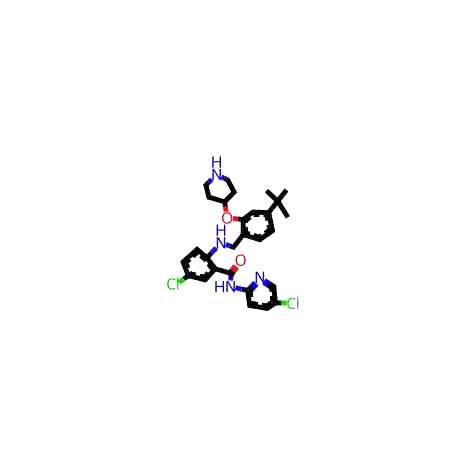 CC(C)(C)c1ccc(CNc2ccc(Cl)cc2C(=O)Nc2ccc(Cl)cn2)c(OC2CCNCC2)c1